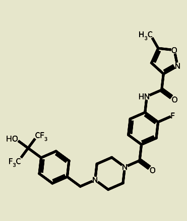 Cc1cc(C(=O)Nc2ccc(C(=O)N3CCN(Cc4ccc(C(O)(C(F)(F)F)C(F)(F)F)cc4)CC3)cc2F)no1